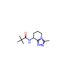 Cc1nnc2n1CCCC2NC(=O)C(C)(C)C